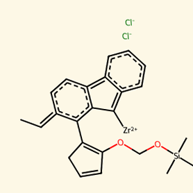 CC=c1ccc2c(c1C1=C(OCO[Si](C)(C)C)C=CC1)[C]([Zr+2])=c1ccccc1=2.[Cl-].[Cl-]